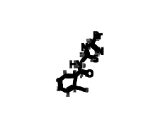 Cc1ccccc1C(=O)Nc1nc(Br)ns1